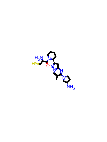 Cc1cn2nc([C@@H]3CCCCN3C(=O)C(N)CS)cc2nc1N1CC[C@H](N)C1